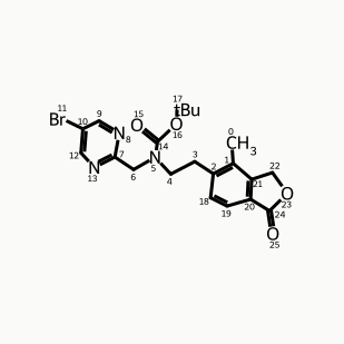 Cc1c(CCN(Cc2ncc(Br)cn2)C(=O)OC(C)(C)C)ccc2c1COC2=O